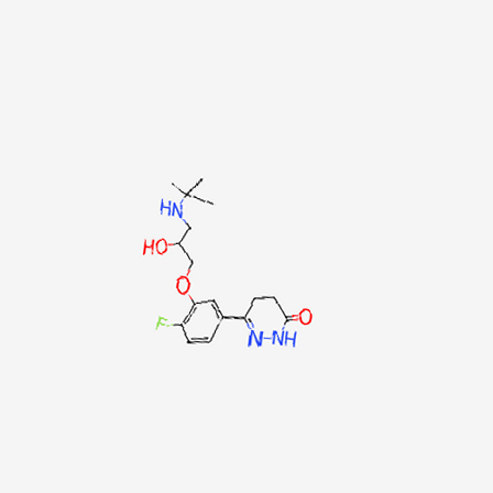 CC(C)(C)NCC(O)COc1cc(C2=NNC(=O)CC2)ccc1F